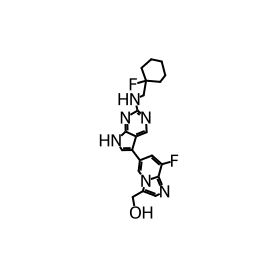 OCc1cnc2c(F)cc(-c3c[nH]c4nc(NCC5(F)CCCCC5)ncc34)cn12